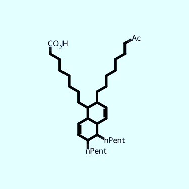 CCCCCC1C=CC2C(C=CC(CCCCCCCC(C)=O)C2CCCCCCCC(=O)O)C1CCCCC